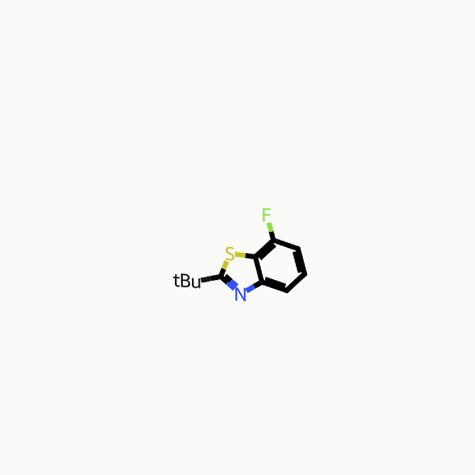 CC(C)(C)c1nc2cccc(F)c2s1